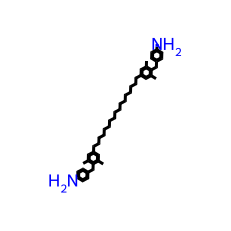 Cc1cc(CCCCCCCCCCCCCCCCCc2cc(C)c(Cc3ccc(N)cc3)c(C)c2)cc(C)c1Cc1ccc(N)cc1